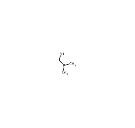 CP(C)CS